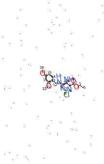 CCOC(=O)c1nc(Cl)nc(NCc2ccc(OC)cc2OC)c1N